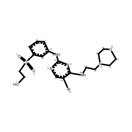 O=S(=O)(CCO)c1cccc(Nc2ncc(Br)c(NCCN3CCOCC3)n2)c1